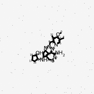 COc1c(C)cnc(CN2N=C3CC(N[C@H]4CCC[C@@H]4O)C4=C3C(=N2)C(N)=NSC4)c1C